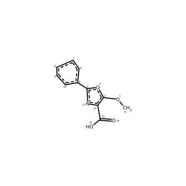 COc1oc(-c2ccccc2)nc1C(=O)O